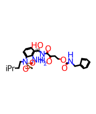 CC(C)CCN(c1cccc([C@H](O)NC(=O)C(=O)CCOC(=O)NCc2ccccc2)c1N)S(C)(=O)=O